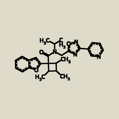 CC1C(C)C(C(=O)N(Cc2nc(-c3cccnc3)no2)C(C)C)(c2cc3ccccc3o2)C1C